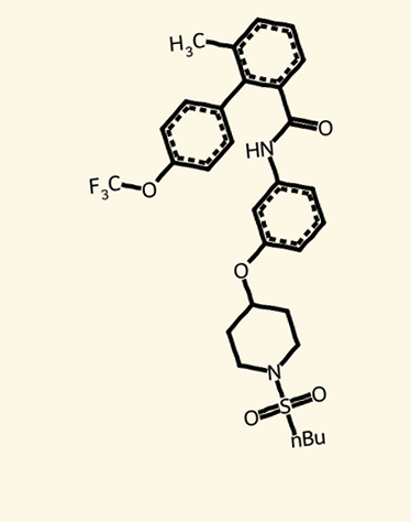 CCCCS(=O)(=O)N1CCC(Oc2cccc(NC(=O)c3cccc(C)c3-c3ccc(OC(F)(F)F)cc3)c2)CC1